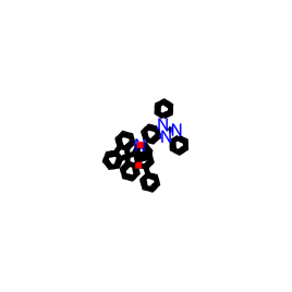 c1ccc(-c2ccc(N(c3ccc4c(c3)n3c5ccccc5nc3n4-c3ccccc3)c3cccc4c3C3(c5ccccc5-c5ccccc53)c3ccccc3-4)cc2)cc1